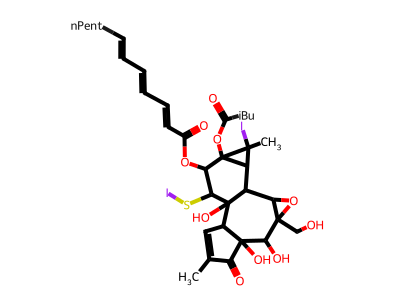 CCCCC/C=C/C=C/C=C/C(=O)OC1C(SI)C2(O)C(C3OC3(CO)C(O)C3(O)C(=O)C(C)=CC32)C2C(C)(I)C12OC(=O)C(C)CC